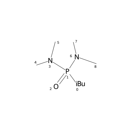 CCC(C)P(=O)(N(C)C)N(C)C